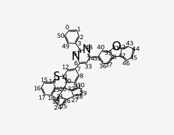 c1ccc(-c2nc(-c3ccc4c(c3)Sc3ccccc3C43c4ccccc4-c4ccccc43)cc(-c3ccc4c(c3)oc3ccccc34)n2)cc1